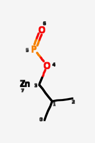 CC(C)COP=O.[Zn]